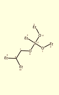 CCO[Si](CC)(OCC)OCC(CC)CC